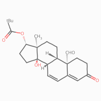 CC(C)(C)C(=O)O[C@H]1CC[C@@]2(O)[C@H]3C=CC4=CC(=O)CC[C@]4(C=O)[C@H]3CC[C@]12C